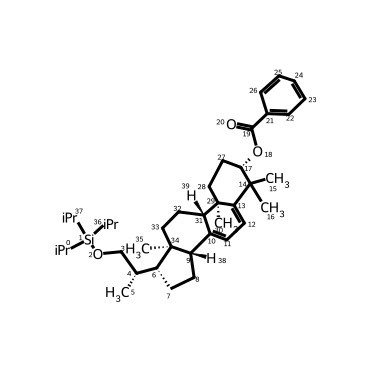 CC(C)[Si](OC[C@@H](C)[C@H]1CC[C@H]2C3=CC=C4C(C)(C)[C@@H](OC(=O)c5ccccc5)CC[C@]4(C)[C@H]3CC[C@]12C)(C(C)C)C(C)C